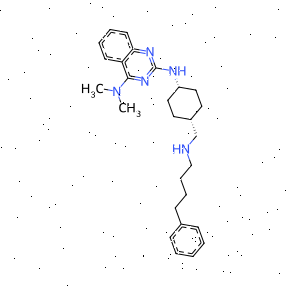 CN(C)c1nc(N[C@H]2CC[C@@H](CNCCCCc3ccccc3)CC2)nc2ccccc12